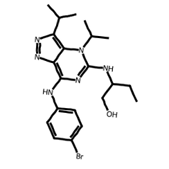 CCC(CO)Nc1nc(Nc2ccc(Br)cc2)c2nnc(C(C)C)c-2n1C(C)C